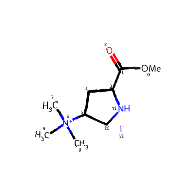 COC(=O)C1CC([N+](C)(C)C)CN1.[I-]